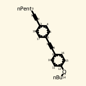 CCCCCC#Cc1ccc(C#Cc2ccc(OCCCC)cc2)cc1